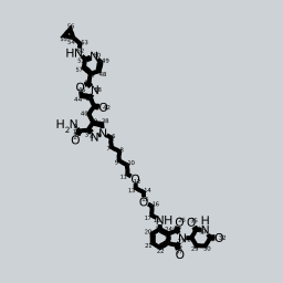 NC(=O)c1nn(CCCCCCOCCOCCNc2cccc3c2C(=O)N(C2CCC(=O)NC2=O)C3=O)cc1CC(=O)c1coc(-c2ccnc(NCC3CC3)c2)n1